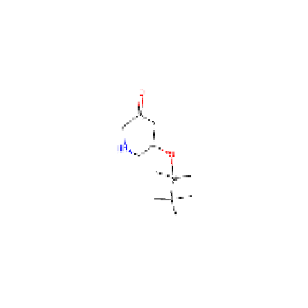 CC(C)(C)[Si](C)(C)OC1CNCC(=O)C1